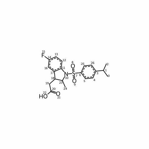 CC(C)c1ccc(S(=O)(=O)N2c3ccc(F)cc3C(CC(=O)O)C2C)cc1